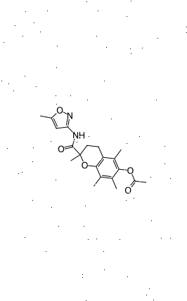 CC(=O)Oc1c(C)c(C)c2c(c1C)CCC(C)(C(=O)Nc1cc(C)on1)O2